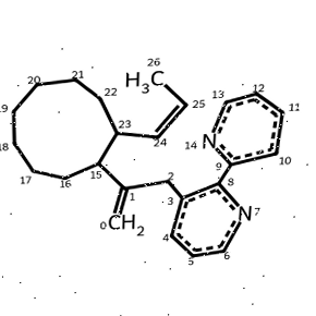 C=C(Cc1cccnc1-c1ccccn1)C1CCCCCCCC1/C=C\C